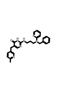 Cc1ccc(Cc2cnc(NCCCN(Cc3ccccc3)c3ccccn3)[nH]c2=O)cn1